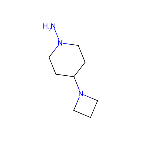 NN1CCC(N2CCC2)CC1